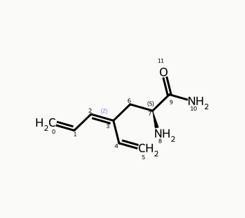 C=C/C=C(\C=C)C[C@H](N)C(N)=O